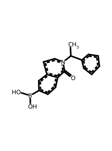 CC(c1ccccc1)n1ccc2cc(B(O)O)ccc2c1=O